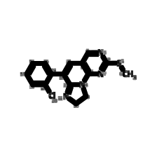 CSc1ncc2c(n1)N1CCN=C1C(c1ccccc1Cl)=C2